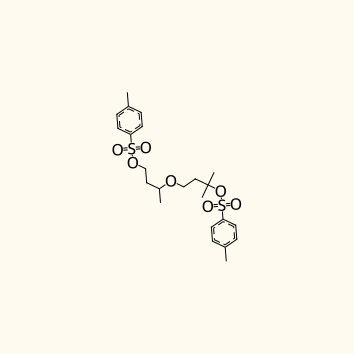 Cc1ccc(S(=O)(=O)OCCC(C)OCCC(C)(C)OS(=O)(=O)c2ccc(C)cc2)cc1